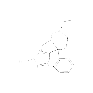 CCN1CCC(c2ccccc2)(c2nnn(P)n2)C(C)C1